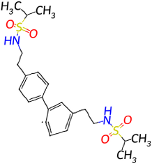 CC(C)S(=O)(=O)NCCc1ccc(-c2[c]ccc(CCNS(=O)(=O)C(C)C)c2)cc1